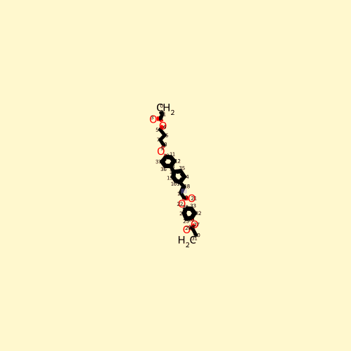 C=CC(=O)OCCCCOc1ccc(-c2ccc(/C=C/C(=O)Oc3ccc(OC(=O)C=C)cc3)cc2)cc1